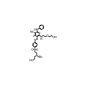 CCC(C)N(CCO)CCS(=O)(=O)c1ccc(/N=N/c2c(NCCOCCO)nc(Nc3ccccc3)c(C#N)c2C)cc1